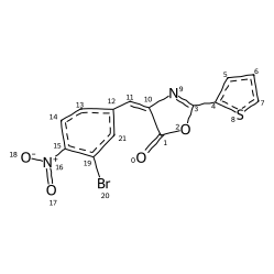 O=C1OC(c2cccs2)=N/C1=C/c1ccc([N+](=O)[O-])c(Br)c1